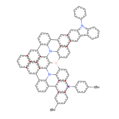 CC(C)(C)c1ccc(N(c2ccc(C(C)(C)C)cc2)c2ccc3c(c2)N(c2c(-c4ccccc4)cccc2-c2ccccc2)c2cc(-c4ccccc4)cc4c2B3c2ccc(-c3ccc5c(c3)c3ccccc3n5-c3ccccc3)cc2N4c2c(-c3ccccc3)cccc2-c2ccccc2)cc1